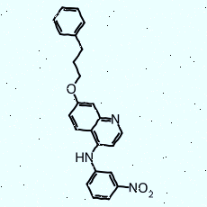 O=[N+]([O-])c1cccc(Nc2ccnc3cc(OCCCc4ccccc4)ccc23)c1